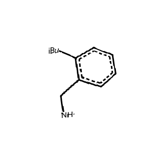 CCC(C)c1ccccc1C[NH]